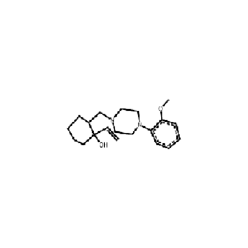 C=CC1(O)CCCCC1CN1CCN(c2ccccc2OC)CC1